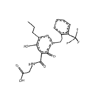 CCCc1nn(Cc2ccccc2C(F)(F)F)c(=O)c(C(=O)NCC(=O)O)c1O